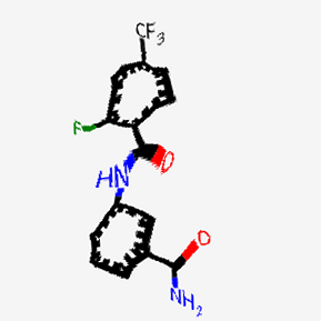 NC(=O)c1cccc(NC(=O)c2ccc(C(F)(F)F)cc2F)c1